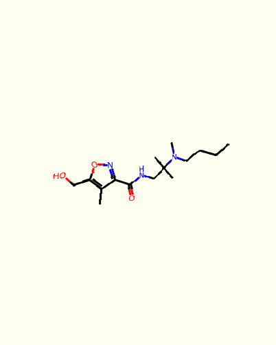 CCCCN(C)C(C)(C)CNC(=O)c1noc(CO)c1C